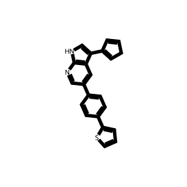 C1=CC(c2c[nH]c3ncc(-c4ccc(-c5cccs5)cc4)cc23)=CC1